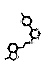 Cc1ccc(-c2cc(NCCc3cccc4c3OCC4C)ncn2)cn1